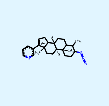 CC1C(N=[N+]=[N-])CC[C@@]2(C)C1CC[C@@H]1[C@@H]2CC[C@]2(C)C(c3cccnc3)=CC[C@@H]12